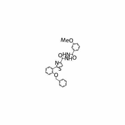 COc1cccc(C(=O)NNC(=O)c2csc(-c3ccccc3OCc3ccccc3)n2)c1